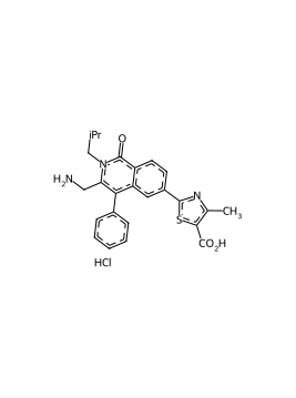 Cc1nc(-c2ccc3c(=O)n(CC(C)C)c(CN)c(-c4ccccc4)c3c2)sc1C(=O)O.Cl